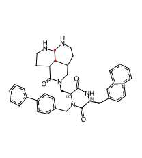 O=C1N[C@@H](Cc2ccc3ccccc3c2)C(=O)N(Cc2ccc(-c3ccccc3)cc2)[C@H]1CN(CC1CCNCC1)C(=O)C1CCNCC1